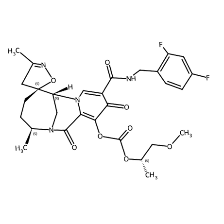 COC[C@H](C)OC(=O)Oc1c2n(cc(C(=O)NCc3ccc(F)cc3F)c1=O)[C@@H]1CN(C2=O)[C@@H](C)CC[C@]12CC(C)=NO2